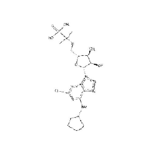 CC(C)(OC[C@H]1O[C@@H](n2nnc3c(NC4CCCC4)nc(Cl)nc32)[C@H](O)[C@@H]1O)P(=O)(O)O